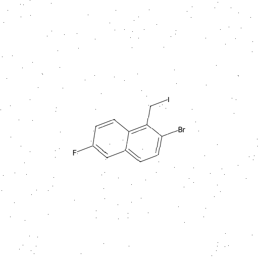 Fc1ccc2c(CI)c(Br)ccc2c1